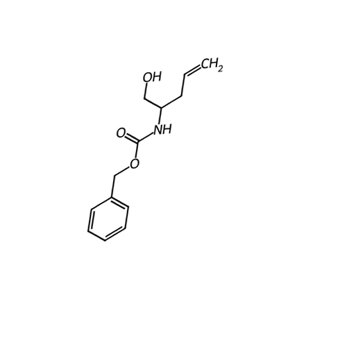 C=CCC(CO)NC(=O)OCc1ccccc1